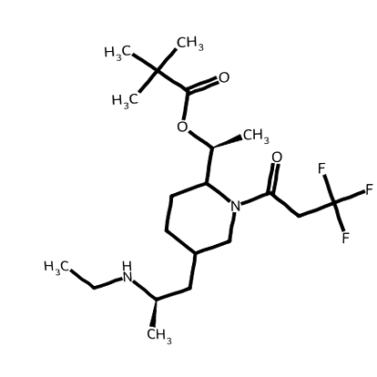 CCN[C@H](C)CC1CCC([C@H](C)OC(=O)C(C)(C)C)N(C(=O)CC(F)(F)F)C1